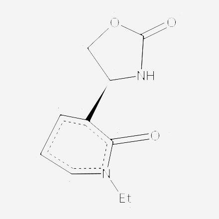 CCn1cccc([C@H]2COC(=O)N2)c1=O